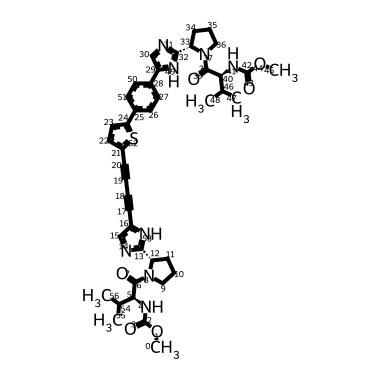 COC(=O)N[C@H](C(=O)N1CCC[C@H]1c1ncc(C#CC#Cc2ccc(-c3ccc(-c4cnc([C@@H]5CCCN5C(=O)[C@@H](NC(=O)OC)C(C)C)[nH]4)cc3)s2)[nH]1)C(C)C